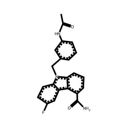 CC(=O)Nc1cccc(Cn2c3ccc(F)[c]c3c3c(C(N)=O)cccc32)c1